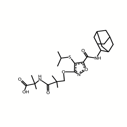 CC(C)Sc1c(OCC(C)(C)C(=O)NC(C)(C)C(=O)O)noc1C(=O)NC1C2CC3CC(C2)CC1C3